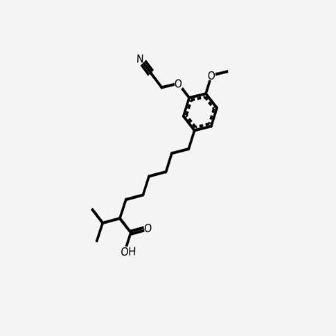 COc1ccc(CCCCCCC(C(=O)O)C(C)C)cc1OCC#N